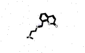 CN(C)CC/N=C/c1cccc2ccc(=O)oc12